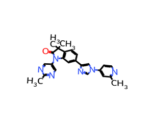 Cc1cc(-n2cnc(-c3ccc4c(c3)N(c3cnc(C)nc3)C(=O)C4(C)C)c2)ccn1